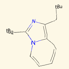 CC(C)(C)Cc1nc(C(C)(C)C)n2ccccc12